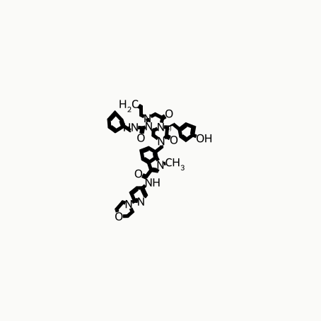 C=CCN1CC(=O)N2C(CN(Cc3cccc4c(C(=O)Nc5ccc(N6CCOCC6)nc5)cn(C)c34)C(=O)[C@@H]2Cc2ccc(O)cc2)N1C(=O)NCc1ccccc1